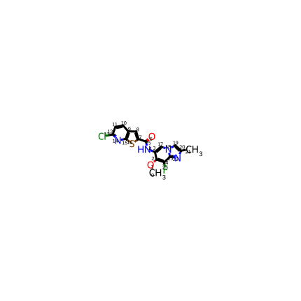 COc1c(NC(=O)c2cc3ccc(Cl)nc3s2)cn2cc(C)nc2c1F